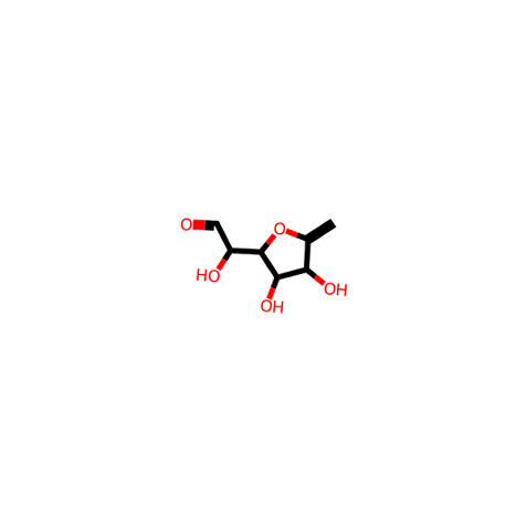 C=C1OC(C(O)C=O)C(O)C1O